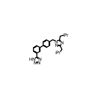 CC(C)Cc1nc(CC(C)C)n(Cc2ccc(-c3cccc(-c4nnn[nH]4)c3)cc2)n1